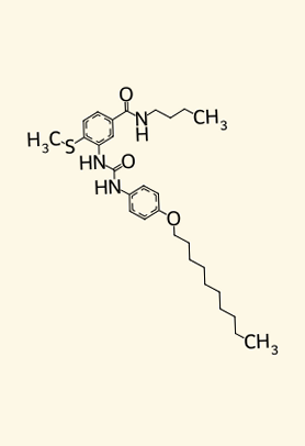 CCCCCCCCCCOc1ccc(NC(=O)Nc2cc(C(=O)NCCCC)ccc2SC)cc1